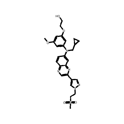 COc1cc(OCCO)cc(N(CC2CC2)c2ccc3ncc(-c4cnn(CCS(C)(=O)=O)c4)nc3c2)c1